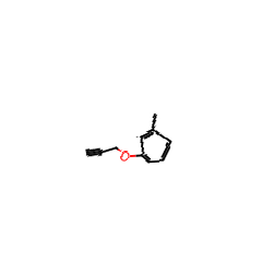 C#CCOc1[c]c(C)ccc1